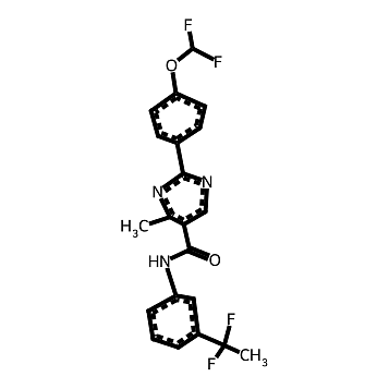 Cc1nc(-c2ccc(OC(F)F)cc2)ncc1C(=O)Nc1cccc(C(C)(F)F)c1